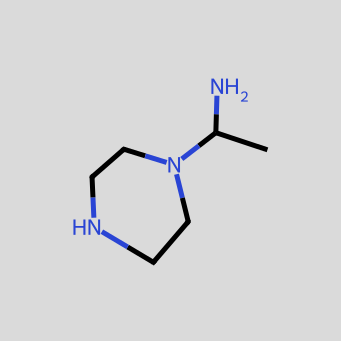 CC(N)N1CCNCC1